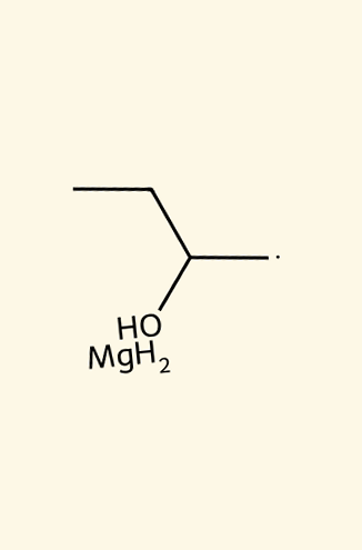 [CH2]C(O)CC.[MgH2]